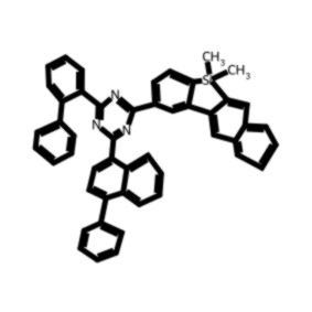 C[Si]1(C)c2ccc(-c3nc(-c4ccccc4-c4ccccc4)nc(-c4ccc(-c5ccccc5)c5ccccc45)n3)cc2-c2cc3ccccc3cc21